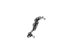 C=CC(=O)OCCCCCCOc1ccc(C(=O)Oc2ccc(C(=O)CC(=O)CC)cc2)cc1